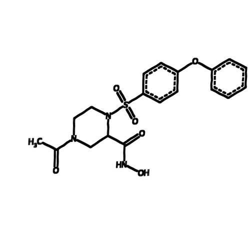 CC(=O)N1CCN(S(=O)(=O)c2ccc(Oc3ccccc3)cc2)C(C(=O)NO)C1